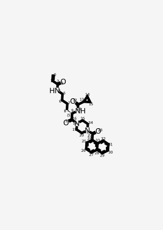 C=CC(=O)NCCCC[C@H](NC(=O)C1CC1)C(=O)N1CCN(C(=O)c2cccc3ccccc23)CC1